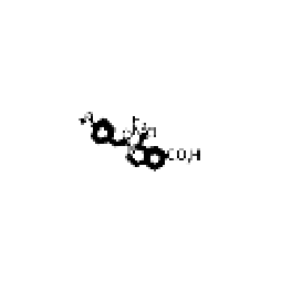 CN(C)c1ccc(CC(=O)N2CCc3ccc(C(=O)O)cc3C2C(N)=O)cc1